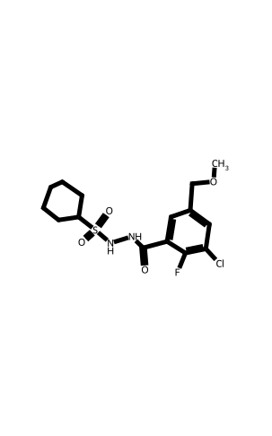 COCc1cc(Cl)c(F)c(C(=O)NNS(=O)(=O)C2CCCCC2)c1